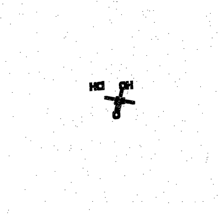 C[As](C)(=O)O.Cl